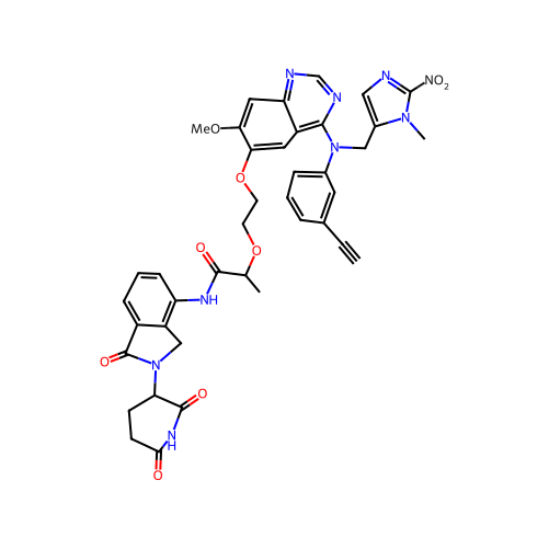 C#Cc1cccc(N(Cc2cnc([N+](=O)[O-])n2C)c2ncnc3cc(OC)c(OCCOC(C)C(=O)Nc4cccc5c4CN(C4CCC(=O)NC4=O)C5=O)cc23)c1